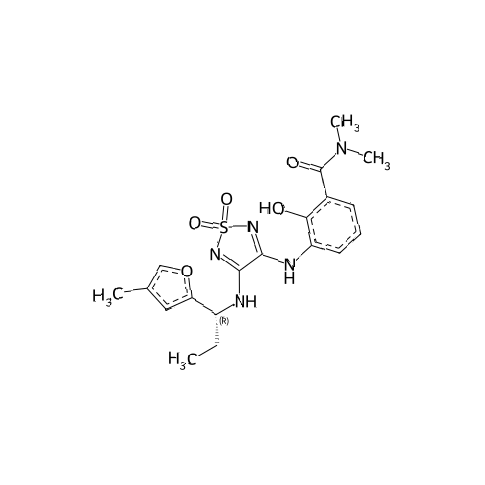 CC[C@@H](NC1=NS(=O)(=O)N=C1Nc1cccc(C(=O)N(C)C)c1O)c1cc(C)co1